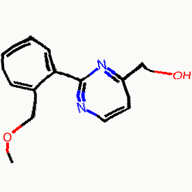 COCc1ccccc1-c1nccc(CO)n1